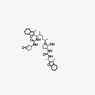 Cc1c([C@H](C)NC(=O)NC2CCN(C(C)CCC(C)[C@@H](NC(=O)NC3CC[S+]([O-])C3)c3oc4ccccc4c3C)C2O)oc2ccccc12